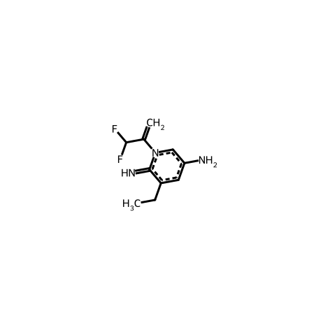 C=C(C(F)F)n1cc(N)cc(CC)c1=N